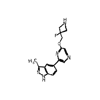 Cc1n[nH]c2ccc(-c3cncc(OCC4(F)CNC4)n3)cc12